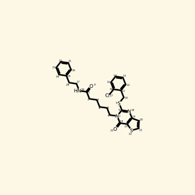 O=C(CCCCCn1c(SCc2ccccc2Cl)nc2ccsc2c1=O)NCCc1ccccc1